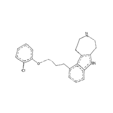 Clc1ccccc1OCCCc1cccc2[nH]c3c(c12)CCNCC3